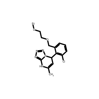 CCOCCOCc1cccc(Cl)c1C1C=C(C)Nc2nnnn21